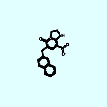 O=c1c(Cc2ccc3ccccc3c2)cc([N+](=O)[O-])c2n1CCN2